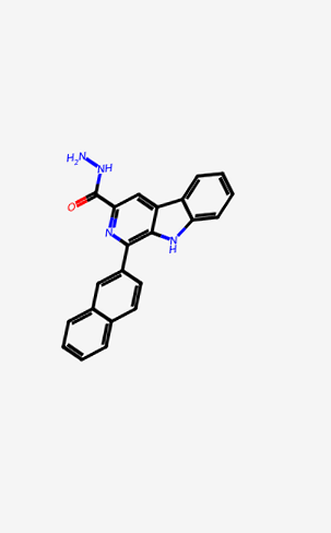 NNC(=O)c1cc2c([nH]c3ccccc32)c(-c2ccc3ccccc3c2)n1